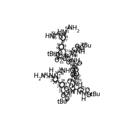 CC(C)(C)OC(=O)Nc1nc(/C(=N/O[C@](C)(C(=O)OC(C)(C)C)[C@H]2CCc3cc(-c4ccc(NCCN)[n+](CC5CNC5)c4)ccc3O2)C(=O)N[C@@H]2C(=O)N(OS(=O)(=O)ON3C(=O)[C@@H](NC(=O)/C(=N\O[C@](C)(C(=O)OC(C)(C)C)[C@H]4CCc5cc(-c6ccc(NCCN)[n+](CC7CNC7)c6)ccc5O4)c4csc(NC(=O)OC(C)(C)C)n4)C3(C)C)C2(C)C)cs1